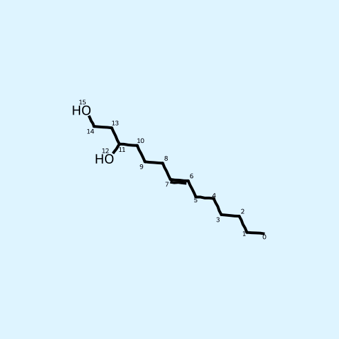 CCCCCCC=CCCCC(O)CCO